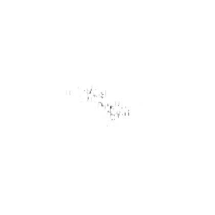 C=C(C)[C@@H]1CC[C@]2(NC(=O)NCC3CCOCC3)CC[C@]3(C)[C@H](CC[C@@H]4[C@@]5(C)CC[C@H](OC(=O)CC(C)(C)C(=O)O)C(C)(C)[C@@H]5CC[C@]43C)[C@@H]12